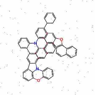 C1=CCC(c2ccc(N(c3ccccc3-c3ccc4c(c3)c3cccc5c3n4-c3ccccc3O5)c3ccccc3-c3cccc4oc5c6ccccc6ccc5c34)c(-c3ccccc3)c2)C=C1